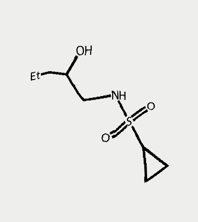 CCC(O)CNS(=O)(=O)C1CC1